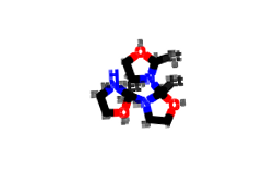 CCC1OCCN1C1(CC)OCCN1C1(CC)NCCO1